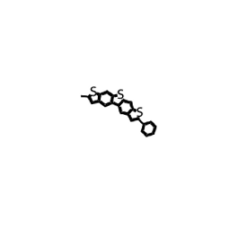 Cc1cc2cc3c(cc2s1)sc1cc2sc(-c4ccccc4)cc2cc13